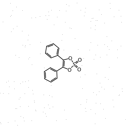 O=S1(=O)OC(c2ccccc2)=C(c2ccccc2)O1